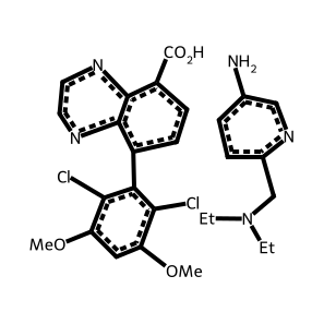 CCN(CC)Cc1ccc(N)cn1.COc1cc(OC)c(Cl)c(-c2ccc(C(=O)O)c3nccnc23)c1Cl